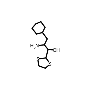 NC(CC1CCCCC1)C(O)C1SCCS1